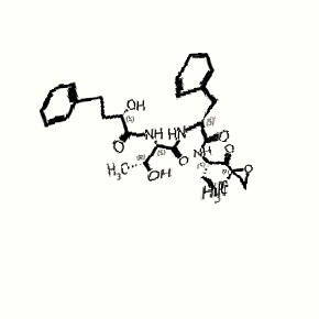 CC(C)C[C@H](NC(=O)[C@H](Cc1ccccc1)NC(=O)[C@@H](NC(=O)[C@@H](O)CCc1ccccc1)[C@@H](C)O)C(=O)[C@@]1(C)CO1